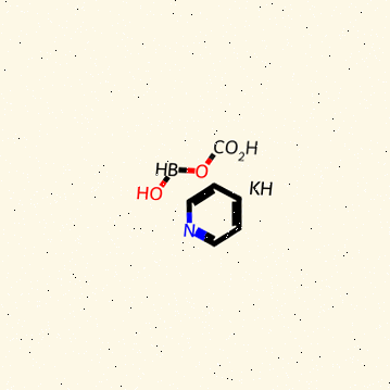 O=C(O)OBO.[KH].c1ccncc1